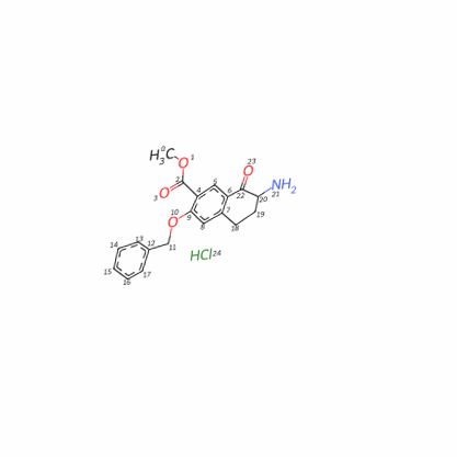 COC(=O)c1cc2c(cc1OCc1ccccc1)CCC(N)C2=O.Cl